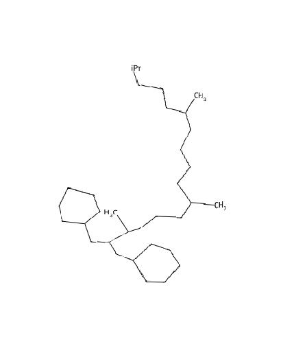 CC(C)CCCC(C)CCCCC(C)CCCC(C)C(CC1CCCCC1)CC1CCCCC1